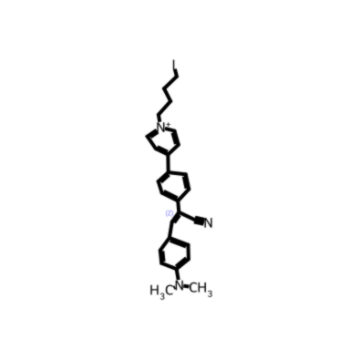 CN(C)c1ccc(/C=C(\C#N)c2ccc(-c3cc[n+](CCCCI)cc3)cc2)cc1